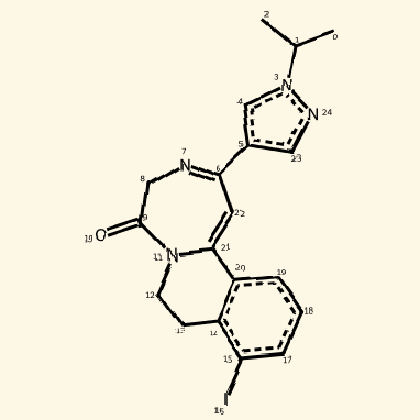 CC(C)n1cc(C2=NCC(=O)N3CCc4c(I)cccc4C3=C2)cn1